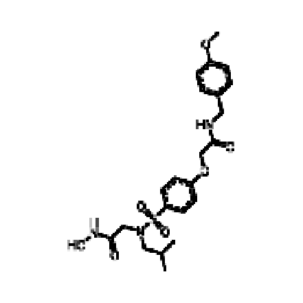 COc1ccc(CNC(=O)COc2ccc(S(=O)(=O)N(CC(=O)NO)CC(C)C)cc2)cc1